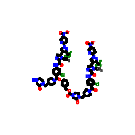 Cn1c(-c2cn(-c3ccc([N+](=O)[O-])cn3)nc2C(F)(F)F)cnc1C(=O)Nc1ccc(C(=O)N2CCC(CN3CCN(C(=O)OCc4ccccc4)CC3=O)CC2)c(Cl)c1.Cn1c(-c2cn(-c3ccc([N+](=O)[O-])cn3)nc2C(F)(F)F)cnc1C(=O)Nc1ccc(C(=O)N2CCC(CN3CCNCC3=O)CC2)c(Cl)c1